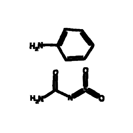 NC(=O)N=S(=O)=O.Nc1ccccc1